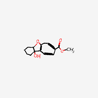 COC(=O)c1ccc2c(c1)OC1CCCCC21O